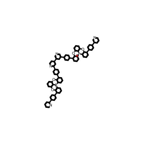 S=P12c3cccc(-c4ccc(-c5cccnc5)cc4)c3Oc3cccc(c31)Oc1c(-c3ccc(-c4cncc(-c5ccnc(-c6ccc(-c7cccc8c7Oc7cccc9c7P8(=S)c7cccc(-c8ccc(-c%10ccccn%10)cc8)c7O9)cc6)c5)c4)cc3)cccc12